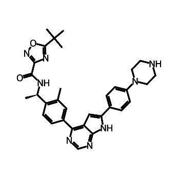 Cc1cc(-c2ncnc3[nH]c(-c4ccc(N5CCNCC5)cc4)cc23)ccc1[C@@H](C)NC(=O)c1noc(C(C)(C)C)n1